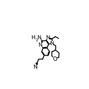 CCc1nc2c(N)nc3cc(CCC#N)ccc3c2n1CC1CCOCC1